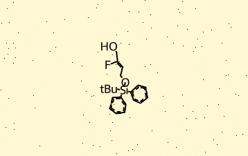 CC(C)(C)[Si](OCC=C(F)CO)(c1ccccc1)c1ccccc1